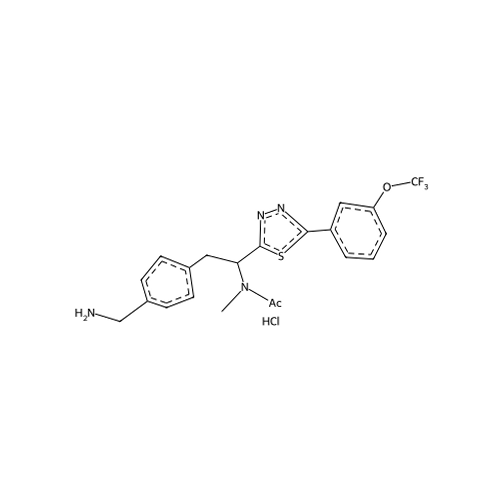 CC(=O)N(C)C(Cc1ccc(CN)cc1)c1nnc(-c2cccc(OC(F)(F)F)c2)s1.Cl